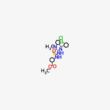 CCOC(=O)c1cccc(NC(=S)NC2N=C(c3ccccc3Cl)c3cc(Cl)ccc3N(C)C2=O)c1